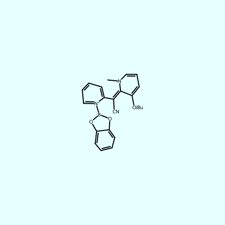 CC(C)COC1=CC=CN(C)/C1=C(/C#N)c1cccc[n+]1B1Oc2ccccc2O1